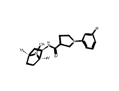 N#CN1[C@H]2CC[C@@H]1[C@H](NC(=O)C1CCN(c3cccc(Br)c3)C1)C2